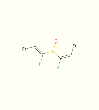 CCC=C(F)[S+]([O-])C(F)=CCC